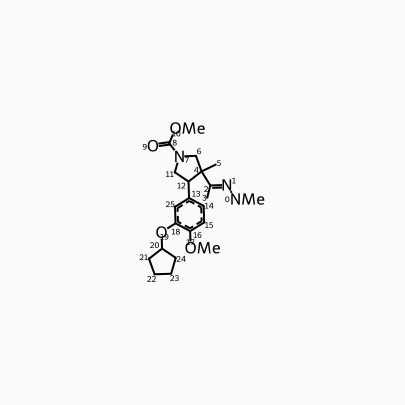 CN/N=C(\C)C1(C)CN(C(=O)OC)CC1c1ccc(OC)c(OC2CCCC2)c1